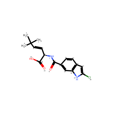 CC(C)(C)/C=C/[C@@H](NC(=O)c1ccc2cc(Cl)[nH]c2c1)C(=O)O